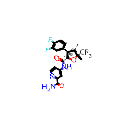 C[C@H]1[C@H](c2ccc(F)c(F)c2)[C@@H](C(=O)Nc2ccnc(C(N)=O)c2)O[C@@]1(C)C(F)(F)F